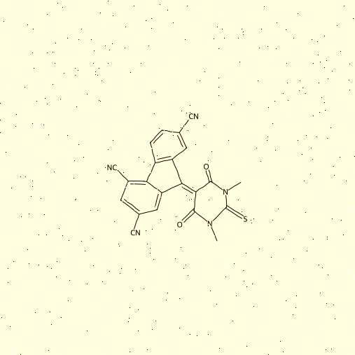 CN1C(=O)C(=C2c3cc(C#N)ccc3-c3c(C#N)cc(C#N)cc32)C(=O)N(C)C1=S